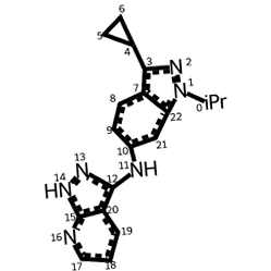 CC(C)n1nc(C2CC2)c2ccc(Nc3n[nH]c4ncccc34)cc21